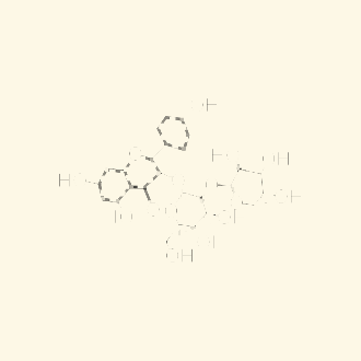 O=c1c(O[C@@H]2O[C@H](CO)[C@@H](O)[C@H](O)[C@H]2O[C@@H]2OC[C@@H](O)[C@H](O)[C@H]2O)c(-c2ccc(O)cc2)oc2cc(O)cc(O)c12